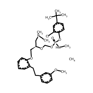 C.CNP(=O)(OCO[C@@H](COc1ccccc1CCc1cccc(OC)c1)CN(C)C)Oc1ccc(C(C)(C)C)cc1Cl